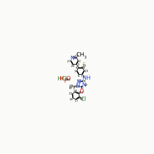 Cc1cc(-c2ccc(Nc3nc(Oc4ccccc4Cl)n(C(C)C)n3)cc2F)ccn1.Cl.O